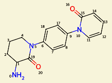 NC1CCCN(c2ccc(-n3ccccc3=O)cc2)C1=O